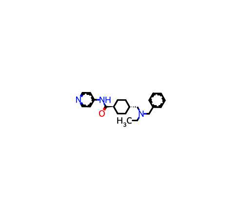 CCN(Cc1ccccc1)C[C@H]1CC[C@H](C(=O)Nc2ccncc2)CC1